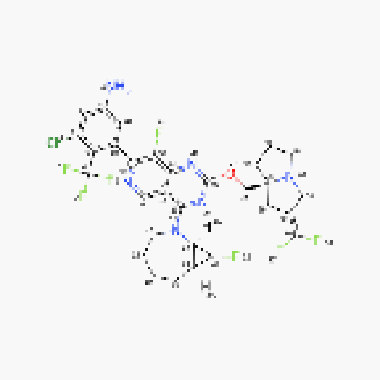 Nc1cc(Cl)c(C(F)(F)F)c(-c2ncc3c(N4CCCC[C@@H]5[C@@H](F)[C@@H]54)nc(OC[C@@]45CCCN4CC(=C(F)F)C5)nc3c2F)c1